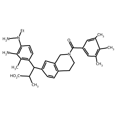 CCN(N)c1ccc(C(c2ccc3c(c2)CN(C(=O)c2cc(C)c(C)c(C)c2)CC3)C(C)C(=O)O)c(C)c1N